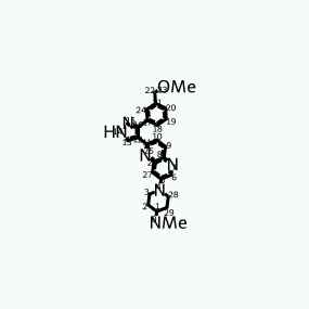 CNC1CCN(c2cnc3ccc(-c4c[nH]nc4-c4cccc(COC)c4)nc3c2)CC1